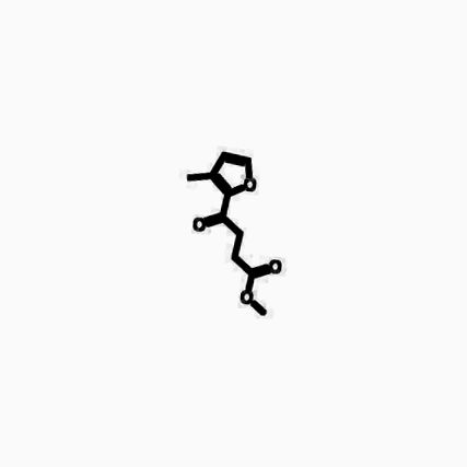 COC(=O)CCC(=O)c1occc1C